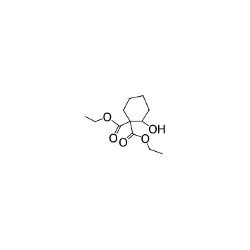 CCOC(=O)C1(C(=O)OCC)CCCCC1O